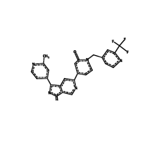 Cc1cc(-c2n[nH]c3cnc(-c4ccn(Cc5ccnc(C(F)(F)F)c5)c(=O)c4)cc23)ccn1